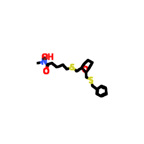 CN(O)C(=O)CCCCSCC1C2CCC(O2)C1CSCc1ccccc1